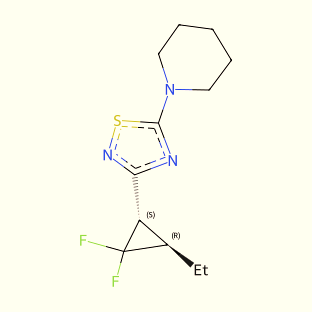 CC[C@@H]1[C@@H](c2nsc(N3CCCCC3)n2)C1(F)F